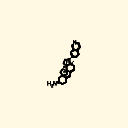 C[C@]12CC=C3C=C4CC[C@@H](N)C[C@]45CC[C@]3(C5)[C@@H]1CC[C@@H]2c1ccc2ccncc2c1